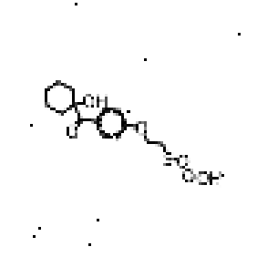 O=C(c1ccc(OCCSOOO)cc1)C1(O)CCCCC1